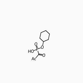 CC(=O)C(=O)P(=O)(O)OC1CCCCC1